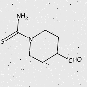 NC(=S)N1CCC(C=O)CC1